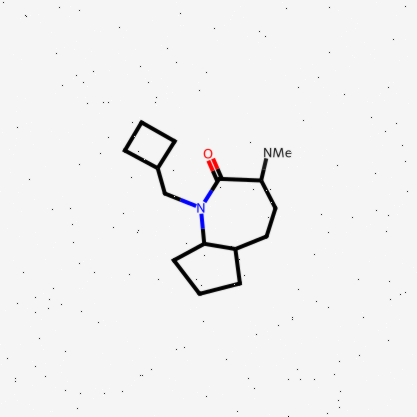 CNC1CCC2CCCC2N(CC2CCC2)C1=O